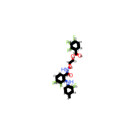 Cc1ccc(Nc2c(C(=O)NOCCOC(=O)c3ccc(F)c(F)c3F)ccc(F)c2F)c(F)c1